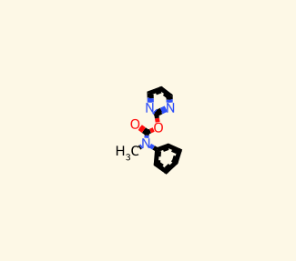 CN(C(=O)Oc1ncccn1)c1ccccc1